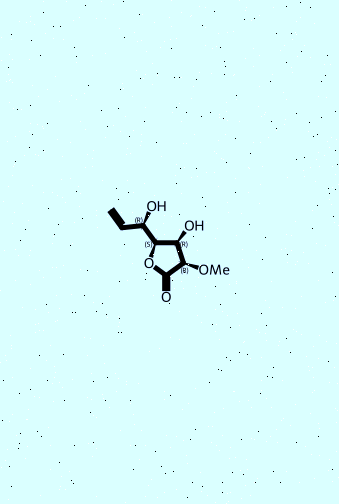 C=C[C@@H](O)[C@@H]1OC(=O)[C@H](OC)[C@@H]1O